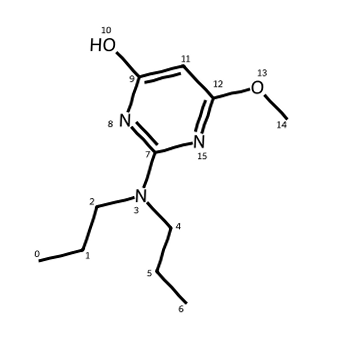 CCCN(CCC)c1nc(O)cc(OC)n1